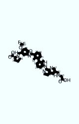 Cc1c(Nc2nccc3cc(CNCC(=O)O)cnc23)cccc1-c1cccc(-c2nc3cc(CN4CCC[C@H]4C(=O)O)c(OC(F)F)cc3o2)c1C